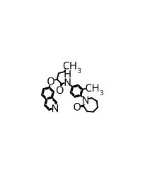 CCCC(Oc1ccc2ccncc2c1)C(=O)Nc1ccc(N2CCCCCC2=O)c(C)c1